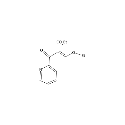 CCOC=C(C(=O)OCC)C(=O)c1ccccn1